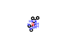 N=C(NC1N=C(c2ccccc2)c2ccccc2NC1=O)OC(=N)c1cnccc1N1CCCCC1